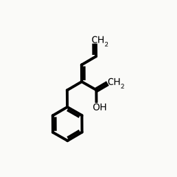 C=C/C=C(/Cc1ccccc1)C(=C)O